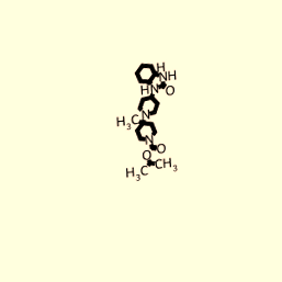 CC(C)OC(=O)N1CCC(C)(N2CCC(N3C(=O)N[C@H]4CCCC[C@H]43)CC2)CC1